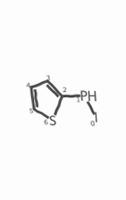 IPc1cccs1